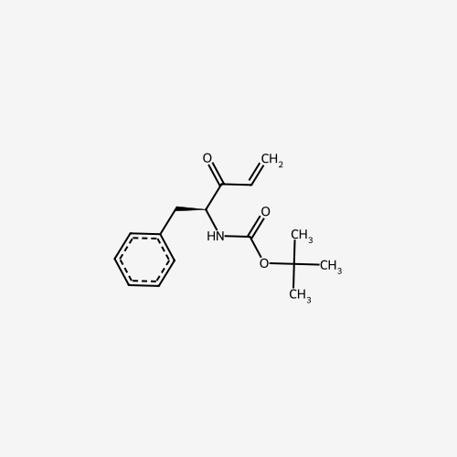 C=CC(=O)[C@H](Cc1ccccc1)NC(=O)OC(C)(C)C